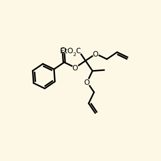 C=CCOC(C)C(OCC=C)(OC(=O)c1ccccc1)C(=O)OCC